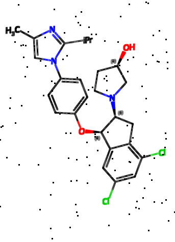 Cc1cn(-c2ccc(O[C@@H]3c4cc(Cl)cc(Cl)c4C[C@@H]3N3CC[C@@H](O)C3)cc2)c(C(C)C)n1